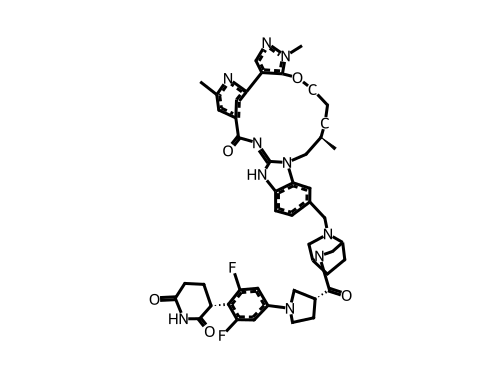 Cc1cc2cc(n1)-c1cnn(C)c1OCCC[C@@H](C)CN1/C(=N/C2=O)Nc2ccc(CN3CC4CCC3CN4C(=O)[C@@H]3CCN(c4cc(F)c([C@H]5CCC(=O)NC5=O)c(F)c4)C3)cc21